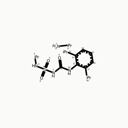 CC(C)N.CC(C)NS(=O)(=O)NC(=O)Nc1c(C(C)C)cccc1C(C)C